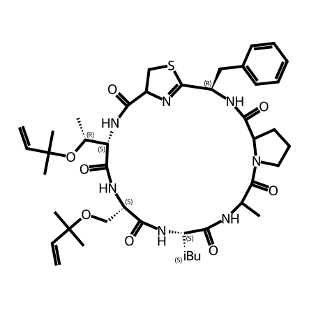 C=CC(C)(C)OC[C@@H]1NC(=O)[C@H]([C@@H](C)OC(C)(C)C=C)NC(=O)C2CSC(=N2)[C@@H](Cc2ccccc2)NC(=O)C2CCCN2C(=O)C(C)NC(=O)[C@H]([C@@H](C)CC)NC1=O